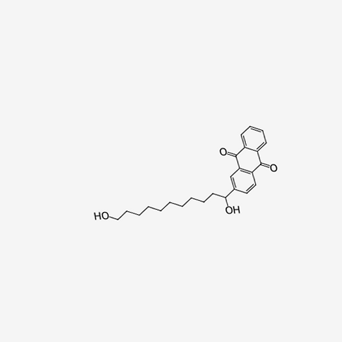 O=C1c2ccccc2C(=O)c2cc(C(O)CCCCCCCCCCO)ccc21